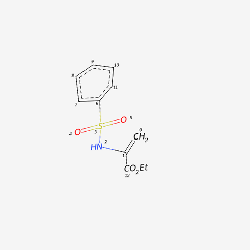 C=C(NS(=O)(=O)c1ccccc1)C(=O)OCC